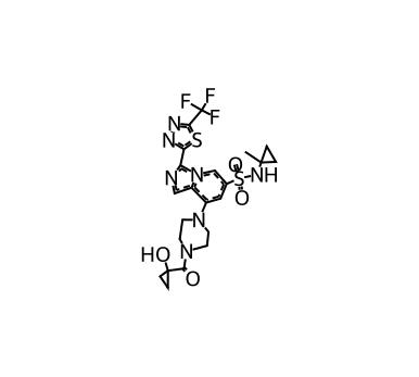 CC1(NS(=O)(=O)c2cc(N3CCN(C(=O)C4(O)CC4)CC3)c3cnc(-c4nnc(C(F)(F)F)s4)n3c2)CC1